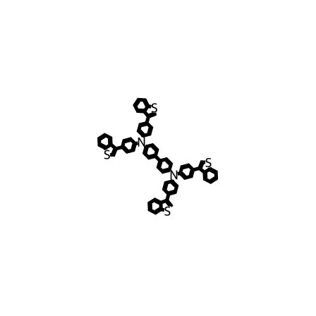 c1ccc2c(-c3ccc(N(c4ccc(-c5ccc(N(c6ccc(-c7csc8ccccc78)cc6)c6ccc(-c7csc8ccccc78)cc6)cc5)cc4)c4ccc(-c5csc6ccccc56)cc4)cc3)csc2c1